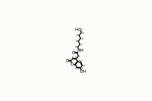 O=C(Cc1cc(=O)oc2cc(O)ccc12)NCCCCCCO